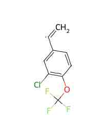 C=[C]c1ccc(OC(F)(F)F)c(Cl)c1